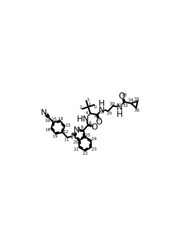 CC(C)(C)[C@H](NC(=O)c1nn(Cc2ccc(C#N)cc2)c2ccccc12)C(=O)NCCNC(=O)C1CC1